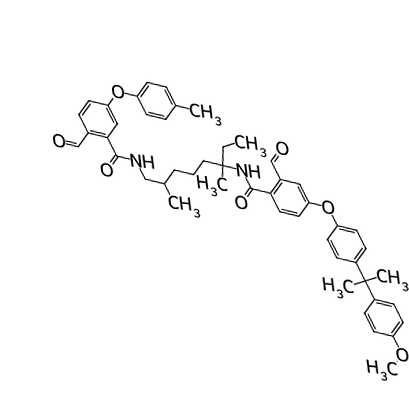 CCC(C)(CCCC(C)CNC(=O)c1cc(Oc2ccc(C)cc2)ccc1C=O)NC(=O)c1ccc(Oc2ccc(C(C)(C)c3ccc(OC)cc3)cc2)cc1C=O